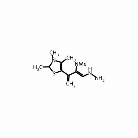 C=C(C1=C(C)N(C)C(C)S1)/C(=C/NN)NC